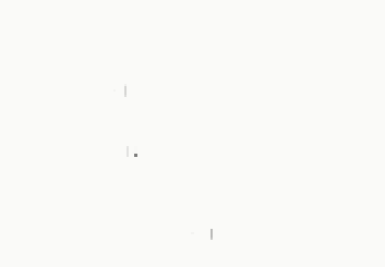 Cl.O=C(O)C1=CCCN(Cc2ccc(Cl)c(Cl)c2)C1